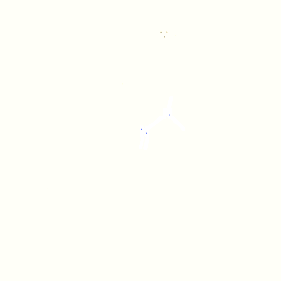 COC(=O)[C@@H]1CCCCN1N=Cc1cccc(F)c1